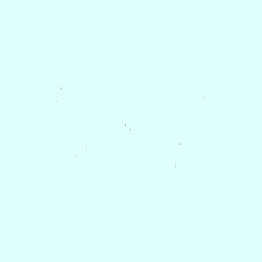 CO[C@H](C)CNCC(C)C